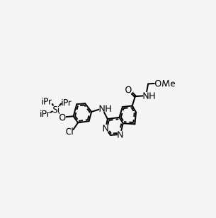 COCNC(=O)c1ccc2ncnc(Nc3ccc(O[Si](C(C)C)(C(C)C)C(C)C)c(Cl)c3)c2c1